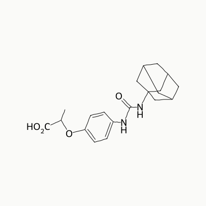 CC(Oc1ccc(NC(=O)NC23CC4CC(CC(C4)C2)C3)cc1)C(=O)O